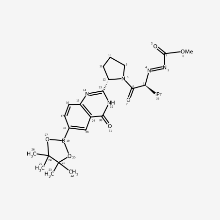 COC(=O)N=N[C@H](C(=O)N1CCC[C@H]1c1nc2ccc(B3OC(C)(C)C(C)(C)O3)cc2c(=O)[nH]1)C(C)C